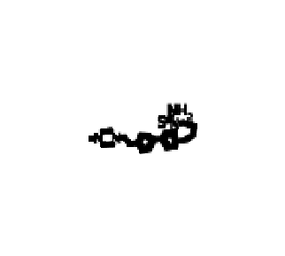 CN1CCN(CCc2ccc(-c3ccc4c(c3)N(C(N)=S)CCCC4)cc2)CC1